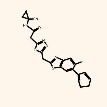 N#CC1(NC(=O)Cc2nnc(Cc3nc4cc(F)c(C5=CCCC=C5)cc4s3)o2)CC1